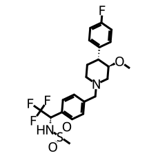 CO[C@H]1CN(Cc2ccc([C@H](NS(C)(=O)=O)C(F)(F)F)cc2)CC[C@@H]1c1ccc(F)cc1